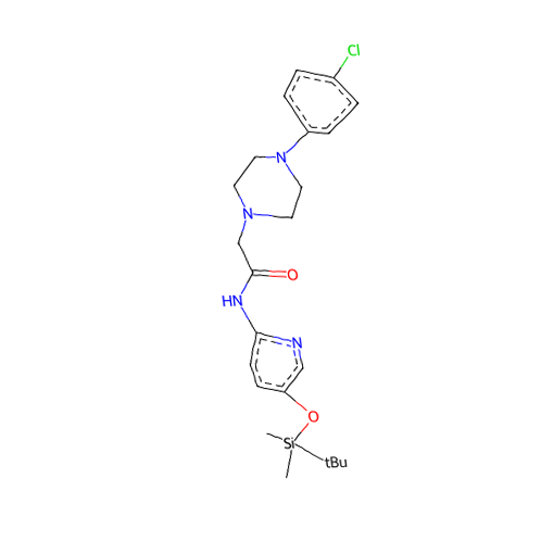 CC(C)(C)[Si](C)(C)Oc1ccc(NC(=O)CN2CCN(c3ccc(Cl)cc3)CC2)nc1